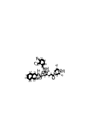 C[C@@H]1CN(C(=O)CC[C@@H](COC(=O)Nc2cc3ccccc3cn2)N(C)C(=O)NCc2cccc(F)c2Cl)C[C@H](C)N1